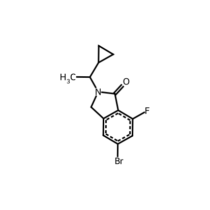 CC(C1CC1)N1Cc2cc(Br)cc(F)c2C1=O